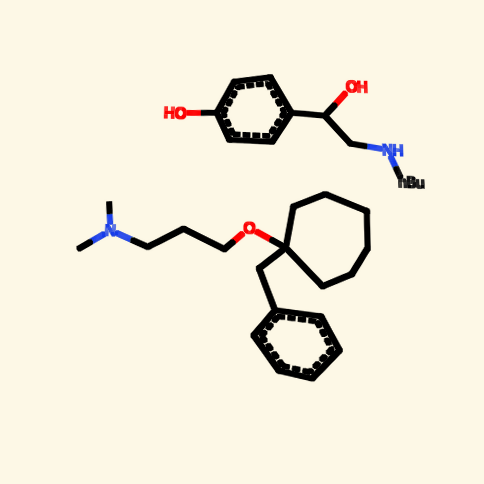 CCCCNCC(O)c1ccc(O)cc1.CN(C)CCCOC1(Cc2ccccc2)CCCCCC1